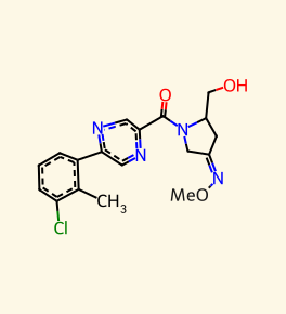 CO/N=C1/CC(CO)N(C(=O)c2cnc(-c3cccc(Cl)c3C)cn2)C1